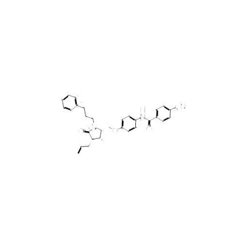 C=CC[C@@H]1C[C@@H](COc2ccc(NC(=O)c3ccc(C#N)cc3)cc2)N(CCCc2ccccc2)C1=O